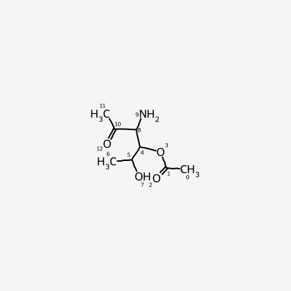 CC(=O)OC(C(C)O)C(N)C(C)=O